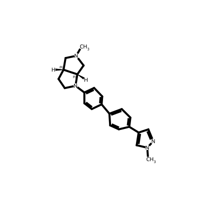 CN1C[C@H]2CCN(c3ccc(-c4ccc(-c5cnn(C)c5)cc4)cc3)[C@H]2C1